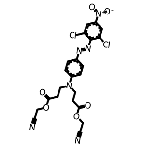 N#CCOC(=O)CCN(CCC(=O)OCC#N)c1ccc(N=Nc2c(Cl)cc([N+](=O)[O-])cc2Cl)cc1